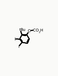 CC(C)(C)c1c(OC(=O)O)ccc(I)c1I